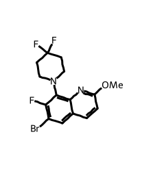 COc1ccc2cc(Br)c(F)c(N3CCC(F)(F)CC3)c2n1